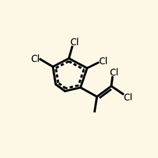 CC(=C(Cl)Cl)c1ccc(Cl)c(Cl)c1Cl